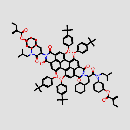 C=C(CC)C(=O)OC1CCCC(N(CC(C)C)C(=O)C(CC2CCCCC2)N2C(=O)c3cc(Oc4ccc(C(C)(C)C)cc4)c4c5c(Oc6ccc(C(C)(C)C)cc6)cc6c7c(cc(Oc8ccc(C(C)(C)C)cc8)c(c8c(Oc9ccc(C(C)(C)C)cc9)cc(c3c48)C2=O)c75)C(=O)N(C(CC2CCCCC2)C(=O)N(CC(C)C)C2CCCC(OC(=O)C(=C)CC)C2)C6=O)C1